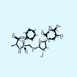 C[C@H](NP(=O)(CO[C@H]1O[C@@H](n2cc(Cl)c(=O)[nH]c2=O)C[C@@H]1I)Oc1ccccc1)C(=O)O